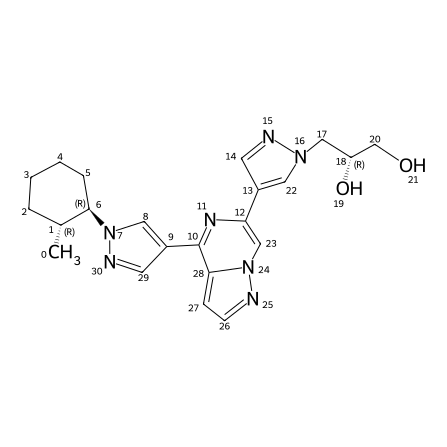 C[C@@H]1CCCC[C@H]1n1cc(-c2nc(-c3cnn(C[C@@H](O)CO)c3)cn3nccc23)cn1